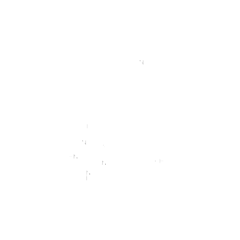 CN1NNN(C2=CC=CC(C)(I)C2COc2ccc(-c3ccccn3)cc2)C1=O